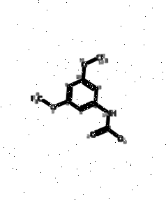 [O]C(=O)Nc1cc(OC(F)(F)F)cc(OC(F)(F)F)c1